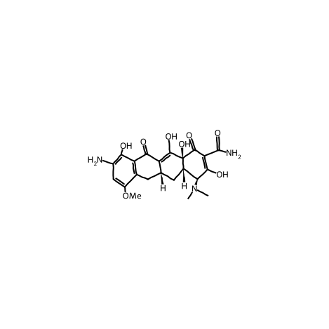 COc1cc(N)c(O)c2c1C[C@H]1C[C@H]3[C@H](N(C)C)C(O)=C(C(N)=O)C(=O)[C@@]3(O)C(O)=C1C2=O